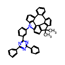 CC1(C)c2cccc3c4ccccc4c4cccc5c4c4c(c1ccc4n5-c1cccc(-c4nc(-c5ccccc5)nc(-c5ccccc5)n4)c1)c23